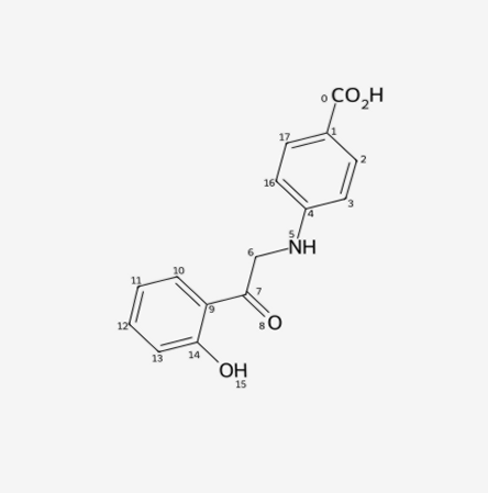 O=C(O)c1ccc(NCC(=O)c2ccccc2O)cc1